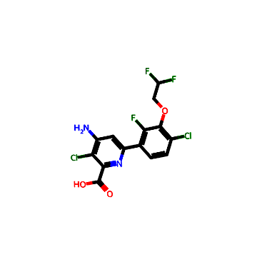 Nc1cc(-c2ccc(Cl)c(OCC(F)F)c2F)nc(C(=O)O)c1Cl